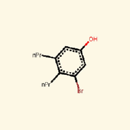 CCCc1cc(O)cc(Br)c1CCC